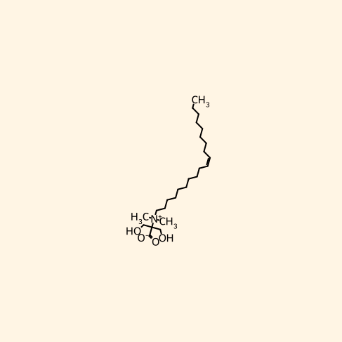 CCCCCCCC/C=C\CCCCCCCCC[N+](C)(C)C(CO)(CO)C(=O)[O-]